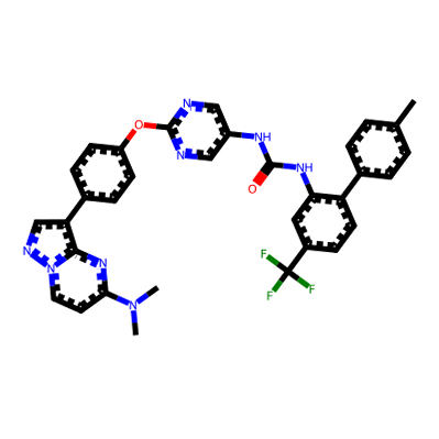 Cc1ccc(-c2ccc(C(F)(F)F)cc2NC(=O)Nc2cnc(Oc3ccc(-c4cnn5ccc(N(C)C)nc45)cc3)nc2)cc1